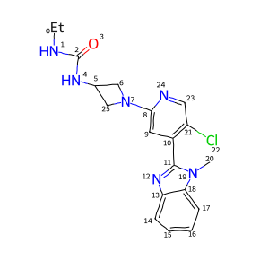 CCNC(=O)NC1CN(c2cc(-c3nc4ccccc4n3C)c(Cl)cn2)C1